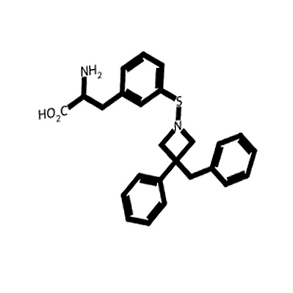 NC(Cc1cccc(SN2CC(Cc3ccccc3)(c3ccccc3)C2)c1)C(=O)O